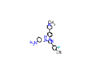 CN1CCC(c2ccc(-n3nc(-c4ccc(C#N)c(F)c4)cc3NC[C@H]3CCC[C@H](N)C3)cc2)CC1